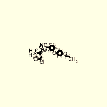 C=CCOc1ccc(Oc2cccc(C(C#N)OC(=O)[C@@H]3[C@@H](C=C(Cl)Cl)C3(C)C)c2)cc1